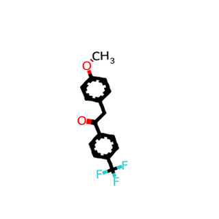 COc1ccc(CC(=O)c2ccc(C(F)(F)F)cc2)cc1